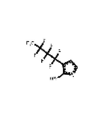 CCCc1sccc1C(F)(F)C(F)(F)C(F)(F)C(F)(F)F